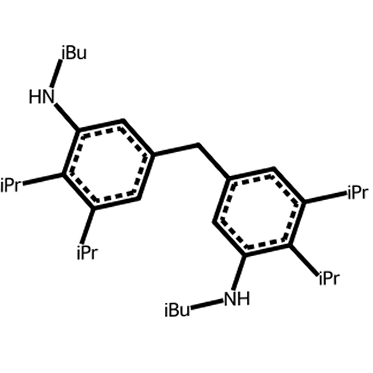 CCC(C)Nc1cc(Cc2cc(NC(C)CC)c(C(C)C)c(C(C)C)c2)cc(C(C)C)c1C(C)C